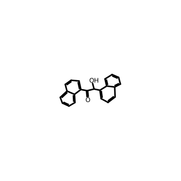 O=C(c1cccc2ccccc12)C(O)c1cccc2ccccc12